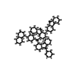 c1ccc(-n2c3ccccc3c3c(N(c4ccc(-c5cccc6ccccc56)cc4)c4ccc(-c5ccc6c(c5)sc5ccccc56)c5sc6ccccc6c45)cccc32)cc1